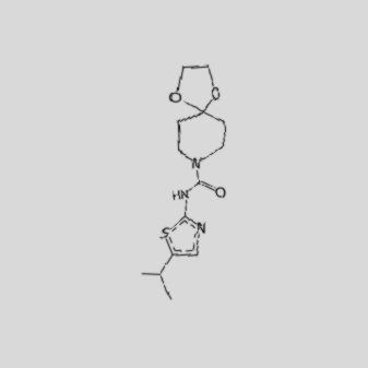 CC(C)c1cnc(NC(=O)N2CCC3(CC2)OCCO3)s1